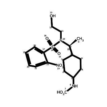 C[C@@H](C1CCC(NC(=O)O)CC1)N(CCO)S(=O)(=O)c1ccccc1[N+](=O)[O-]